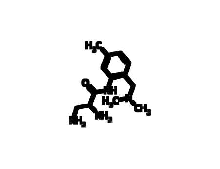 Cc1ccc(CN(C)C)c(NC(=O)C(N)CN)c1